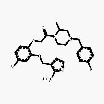 CC1CN(Cc2ccc(F)cc2)CCN1C(=O)COc1ccc(Br)cc1OCc1ccoc1C(=O)O